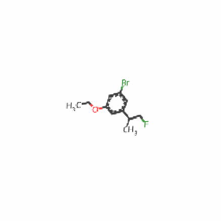 CCOc1cc(Br)cc([C](C)CF)c1